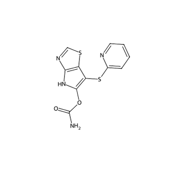 NC(=O)Oc1[nH]c2ncsc2c1Sc1ccccn1